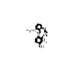 COc1cccc(OC#N)c1COc1ccc(O)cc1C